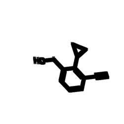 C#Cc1cccc([CH]O)c1C1CC1